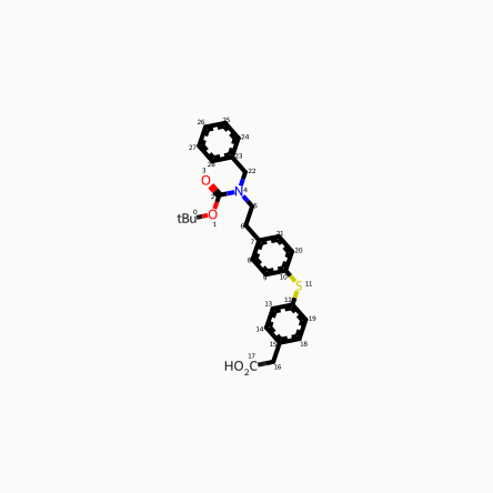 CC(C)(C)OC(=O)N(CCc1ccc(Sc2ccc(CC(=O)O)cc2)cc1)Cc1ccccc1